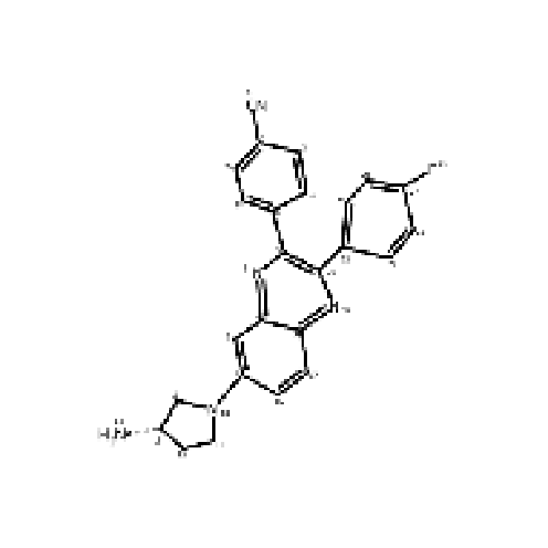 N#Cc1ccc(-c2nc3cc(N4CC[C@H](N)C4)ccc3nc2-c2ccc(F)cc2)cc1